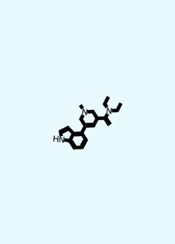 C=C(C1C=C(c2cccc3[nH]ccc23)CN(C)C1)N(CC)CC